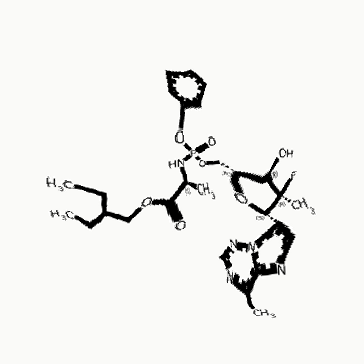 CCC(CC)COC(=O)[C@H](C)NP(=O)(OC[C@H]1O[C@@H](c2cnc3c(C)ncnn23)[C@](C)(F)[C@@H]1O)Oc1ccccc1